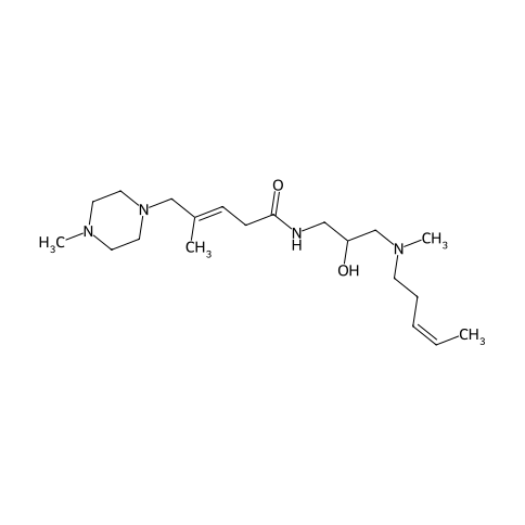 C/C=C\CCN(C)CC(O)CNC(=O)C/C=C(\C)CN1CCN(C)CC1